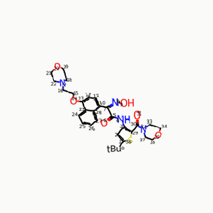 CC(C)(C)c1cc(NC(=O)/C(=N\O)c2ccc(OCCN3CCOCC3)c3ccccc23)c(C(=O)N2CCOCC2)s1